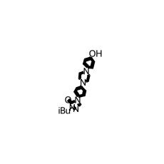 CC[C@H](C)n1ncn(-c2ccc(N3CCN(c4ccc(O)cc4)CC3)cc2)c1=O